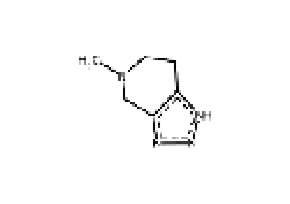 CN1CCc2[nH]nnc2C1